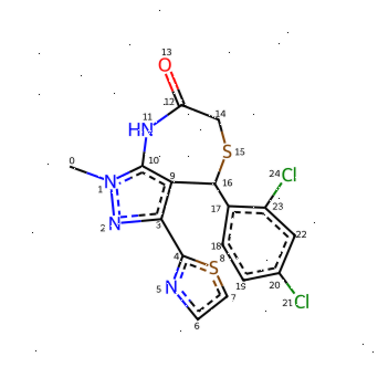 Cn1nc(-c2nccs2)c2c1NC(=O)CSC2c1ccc(Cl)cc1Cl